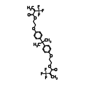 C=C(C(=O)OCCOc1ccc(C(C)(C)c2ccc(OCCOC(=O)C(=C)C(F)(F)F)cc2)cc1)C(F)(F)F